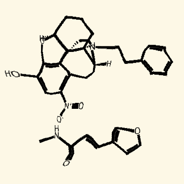 CNC(=O)/C=C/c1ccoc1.O=[N+]([O-])c1cc(O)c2c3c1C[C@@H]1[C@@H]4CCC[C@H](O2)[C@]34CCN1CCc1ccccc1